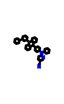 N#Cc1ccc(N(c2ccccc2)c2ccc(-c3c4ccccc4c(-c4cccc(-c5ccccc5)c4)c4ccccc34)cc2)nc1